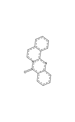 O=c1c2ccccc2nc2c3ccccc3ccn12